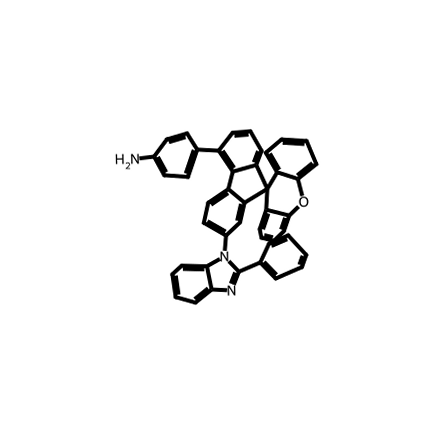 Nc1ccc(-c2cccc3c2-c2ccc(-n4c(-c5ccccc5)nc5ccccc54)cc2C32c3ccccc3Oc3ccccc32)cc1